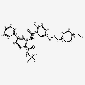 CCN1CCN(CCOc2ccc(C)c(C(=O)Nc3cc(-c4ccccc4)ccc3C(=O)OC(C)(C)C)c2)CC1